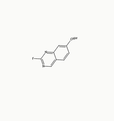 COc1ccc2cnc(F)nc2c1